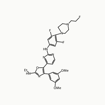 CCNc1nc(-c2cc(OC)cc(OC)c2)c(-c2ccnc(Nc3cc(F)c(N4CCN(CCF)CC4)c(F)c3)n2)o1